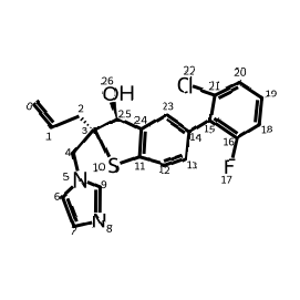 C=CC[C@@]1(Cn2ccnc2)Sc2ccc(-c3c(F)cccc3Cl)cc2[C@@H]1O